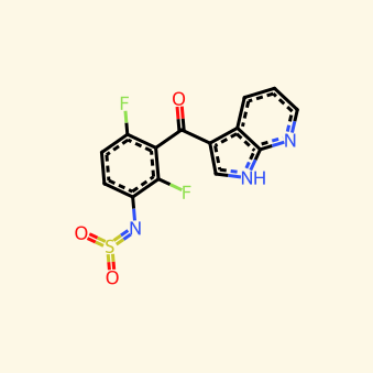 O=C(c1c(F)ccc(N=S(=O)=O)c1F)c1c[nH]c2ncccc12